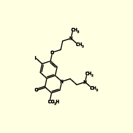 CN(C)CCOc1cc2c(cc1I)c(=O)c(C(=O)O)cn2CCN(C)C